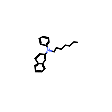 CCCCCCCN(c1ccccc1)c1ccc2ccccc2c1